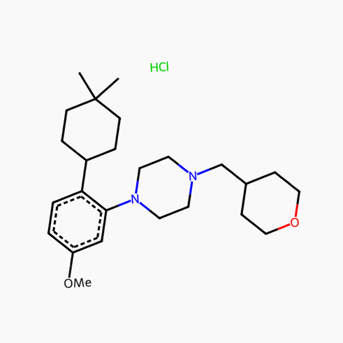 COc1ccc(C2CCC(C)(C)CC2)c(N2CCN(CC3CCOCC3)CC2)c1.Cl